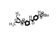 CC1CN(S(=O)(=O)c2cccc(NC(=O)c3ccc(NS(=O)(=O)C(C)(C)C)cc3)c2)CC(C)O1